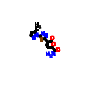 Cc1ccnn1-c1nnc(-c2ccc(C(N)=O)oc2=O)s1